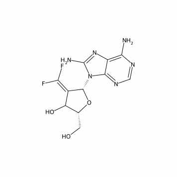 Nc1ncnc2c1nc(N)n2[C@@H]1O[C@H](CO)C(O)C1=C(F)F